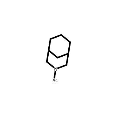 CC(=O)N1CC2CCCC(C2)C1